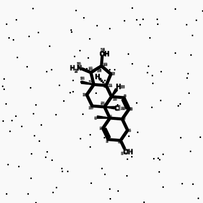 C[C@]12C=CC(O)CC1C=C[C@H]1[C@@H]3CC(O)C(N)[C@@]3(C)CC[C@]12Cl